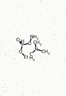 CCO[PH](=O)ON.CN(C)C